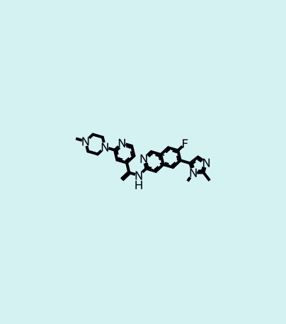 C=C(Nc1cc2cc(-c3cnc(C)n3C)c(F)cc2cn1)c1ccnc(N2CCN(C)CC2)c1